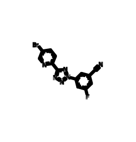 N#Cc1cc(F)cc(-n2nnc(-c3ccc(Br)cn3)n2)c1